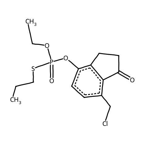 CCCSP(=O)(OCC)Oc1ccc(CCl)c2c1CCC2=O